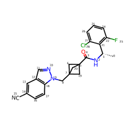 C[C@H](NC(=O)C12CC(Cn3ncc4cc(C#N)ccc43)(C1)C2)c1c(F)cccc1Cl